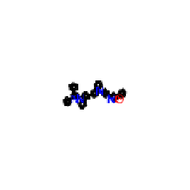 c1ccc(-c2cc(-c3ccccc3)nc(-n3c4ccccc4c4cc(-c5ccc6c(c5)c5ccccc5n6-c5ccc(-c6cc7c(cn6)oc6ccccc67)cc5)ccc43)c2)cc1